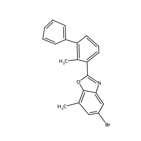 Cc1c(-c2ccccc2)cccc1-c1nc2cc(Br)cc(C)c2o1